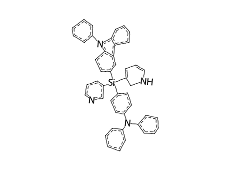 C1=CNCC([Si](c2ccc(N(c3ccccc3)c3ccccc3)cc2)(c2cccnc2)c2ccc3c(c2)c2ccccc2n3-c2ccccc2)=C1